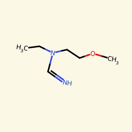 CCN(C=N)CCOC